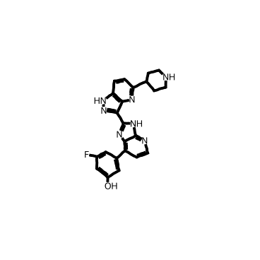 Oc1cc(F)cc(-c2ccnc3[nH]c(-c4n[nH]c5ccc(C6CCNCC6)nc45)nc23)c1